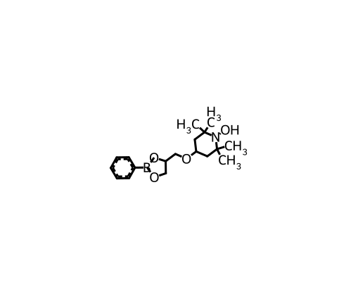 CC1(C)CC(OCC2COB(c3ccccc3)O2)CC(C)(C)N1O